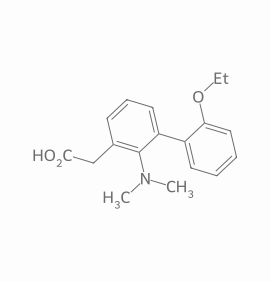 CCOc1ccccc1-c1cccc(CC(=O)O)c1N(C)C